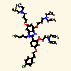 CCCCn1c(-c2ccc(OCCc3ccc(Cl)cc3)cc2OCCN(CC)CC)nc2c(OCCCN(CC)CC)cc(OCCCN(CC)CC)cc21